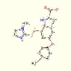 Cc1ccc(Oc2cc(OCc3nccn3C)c3[nH]c(C(=O)O)cc3c2)cc1